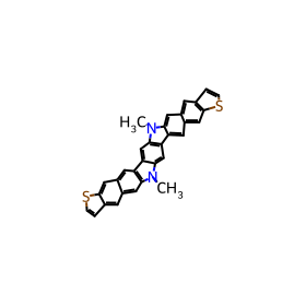 Cn1c2cc3cc4ccsc4cc3cc2c2cc3c(cc21)c1cc2cc4sccc4cc2cc1n3C